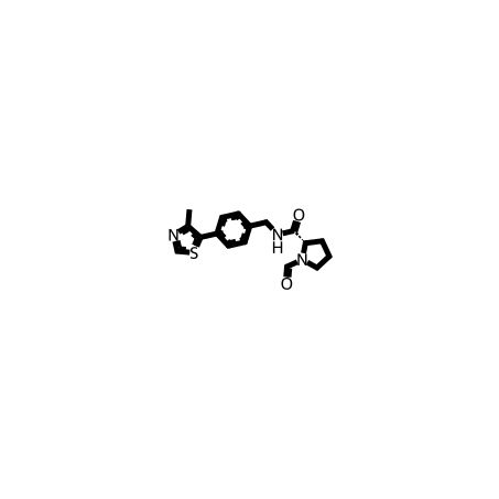 Cc1ncsc1-c1ccc(CNC(=O)[C@@H]2CCCN2C=O)cc1